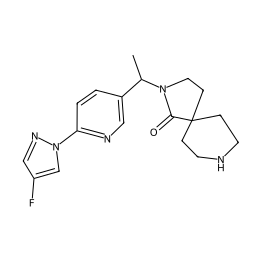 CC(c1ccc(-n2cc(F)cn2)nc1)N1CCC2(CCNCC2)C1=O